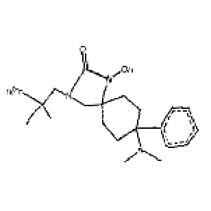 CCCC(C)(C)CN1CC2(CCC(c3ccccc3)(N(C)C)CC2)N(O)C1=O